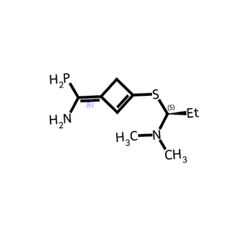 CC[C@H](SC1=C/C(=C(\N)P)C1)N(C)C